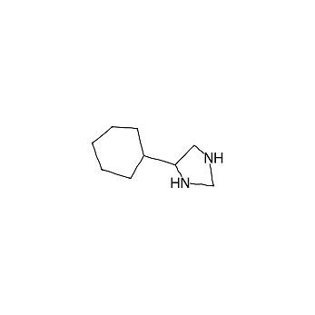 C1CCC(C2CNCN2)CC1